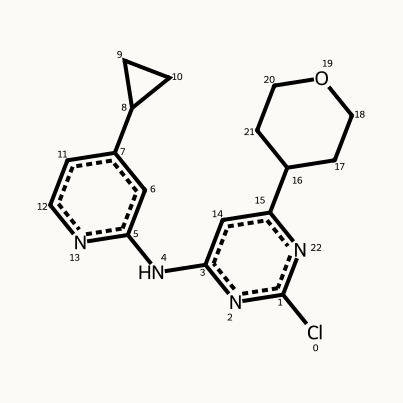 Clc1nc(Nc2cc(C3CC3)ccn2)cc(C2CCOCC2)n1